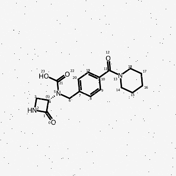 O=C1NC[C@@H]1N(Cc1ccc(C(=O)N2CCCCC2)cc1)C(=O)O